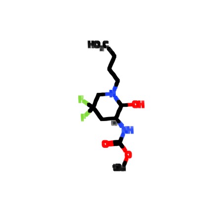 CC(C)(C)OC(=O)N[C@H]1CC(F)(F)CN(CCCC(=O)O)C1O